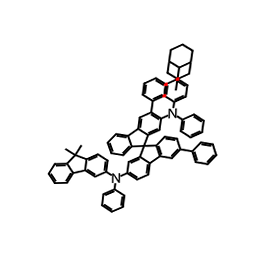 CC1CC2CCCC(C1)C2c1ccc(N(c2ccccc2)c2cc3c(cc2-c2ccccc2)-c2ccccc2C32c3ccc(-c4ccccc4)cc3-c3ccc(N(c4ccccc4)c4ccc5c(c4)-c4ccccc4C5(C)C)cc32)cc1